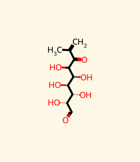 C=C(C)C(=O)C(O)[C@@H](O)[C@H](O)[C@H](O)[C@@H](O)C=O